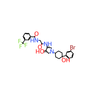 O=C(CNC(=O)c1cccc(C(F)(F)F)c1)N[C@H]1CN(C2CCC(O)(c3cccc(Br)c3)CC2)C[C@H]1O